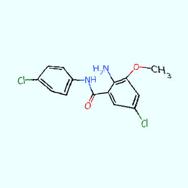 COc1cc(Cl)cc(C(=O)Nc2ccc(Cl)cc2)c1N